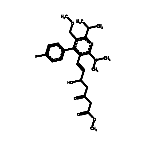 COCc1c(C(C)C)nc(N(C)C)c(/C=C/C(O)CC(=O)CC(=O)OC)c1-c1ccc(F)cc1